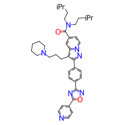 CC(C)CCN(CCC(C)C)C(=O)c1ccn2nc(-c3ccc(-c4noc(-c5ccncc5)n4)cc3)c(CCCN3CCCCC3)c2c1